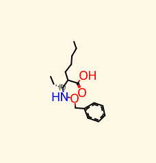 CCCCCC(C(=O)O)[C@@H](CC)NOCc1ccccc1